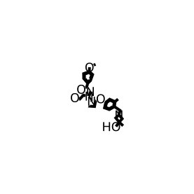 COc1ccc(C2=NN(N3CCC3Oc3ccc(CN4CC(C)(O)C4)c(C)c3)C(C=O)O2)cc1